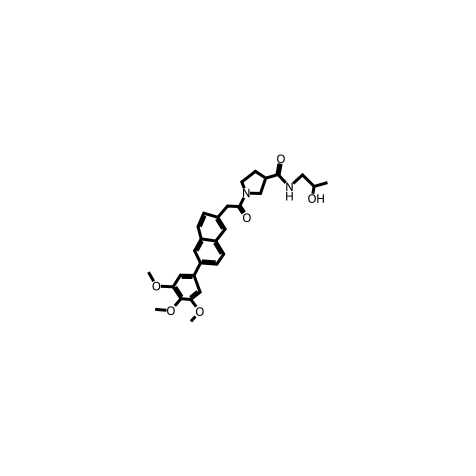 COc1cc(-c2ccc3cc(CC(=O)N4CCC(C(=O)NCC(C)O)C4)ccc3c2)cc(OC)c1OC